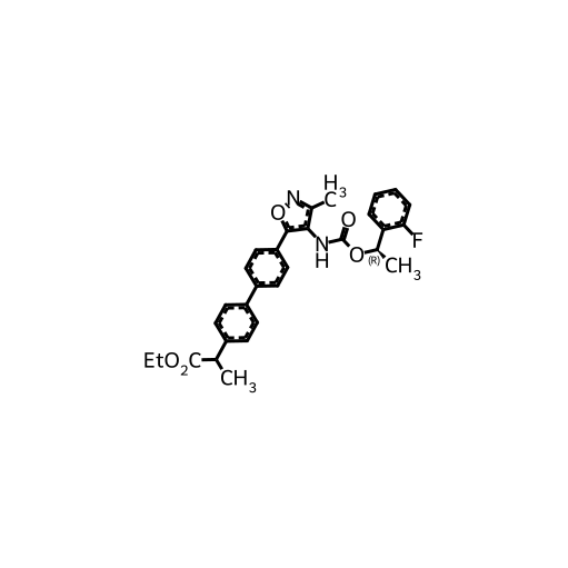 CCOC(=O)C(C)c1ccc(-c2ccc(-c3onc(C)c3NC(=O)O[C@H](C)c3ccccc3F)cc2)cc1